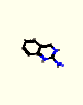 Nc1ncc2ccc[c]c2n1